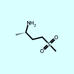 C[C@H](N)CCS(C)(=O)=O